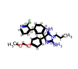 CCCN1C(=N)C(c2ccc(OCOC)cc2)(c2cccc(-c3cccnc3F)c2)N=C1N